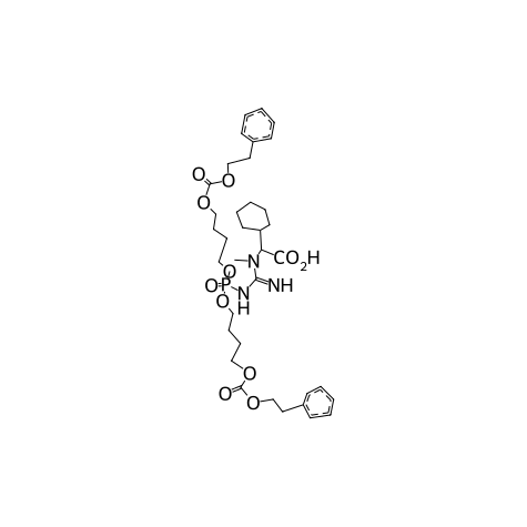 CN(C(=N)NP(=O)(OCCCCOC(=O)OCCc1ccccc1)OCCCCOC(=O)OCCc1ccccc1)C(C(=O)O)C1CCCCC1